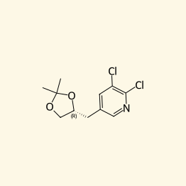 CC1(C)OC[C@@H](Cc2cnc(Cl)c(Cl)c2)O1